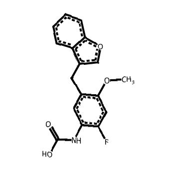 COc1cc(F)c(NC(=O)O)cc1Cc1coc2ccccc12